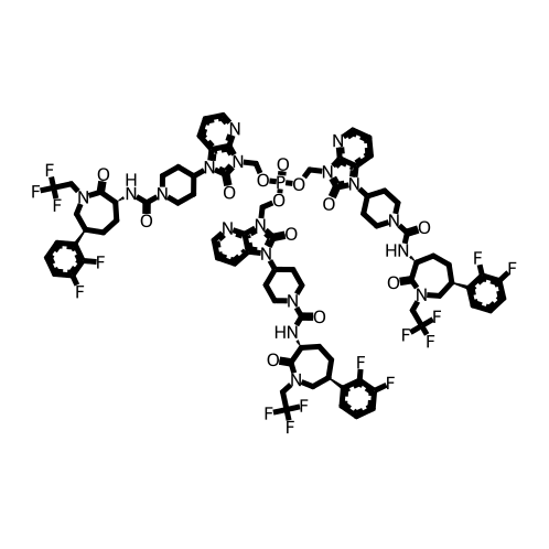 O=C(N[C@@H]1CC[C@@H](c2cccc(F)c2F)CN(CC(F)(F)F)C1=O)N1CCC(n2c(=O)n(COP(=O)(OCn3c(=O)n(C4CCN(C(=O)N[C@@H]5CC[C@@H](c6cccc(F)c6F)CN(CC(F)(F)F)C5=O)CC4)c4cccnc43)OCn3c(=O)n(C4CCN(C(=O)N[C@@H]5CC[C@@H](c6cccc(F)c6F)CN(CC(F)(F)F)C5=O)CC4)c4cccnc43)c3ncccc32)CC1